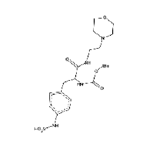 CC(C)(C)OC(=O)NC(Cc1ccc(NS(=O)(=O)O)cc1)C(=O)NCCN1CCOCC1